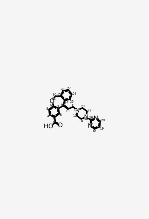 O=C(O)c1ccc2c(c1)/C(=C/CN1CCN(c3ncccn3)CC1)c1ccccc1CO2